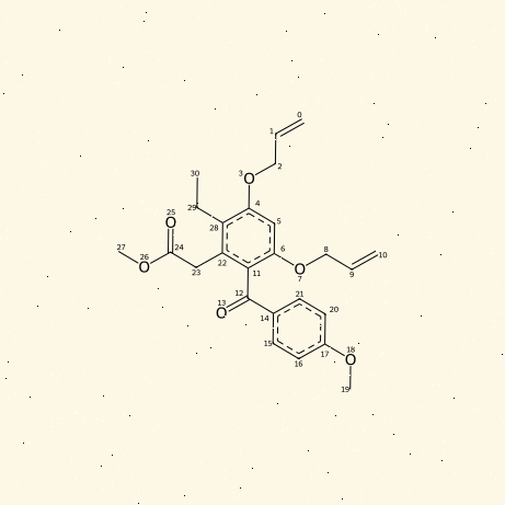 C=CCOc1cc(OCC=C)c(C(=O)c2ccc(OC)cc2)c(CC(=O)OC)c1CC